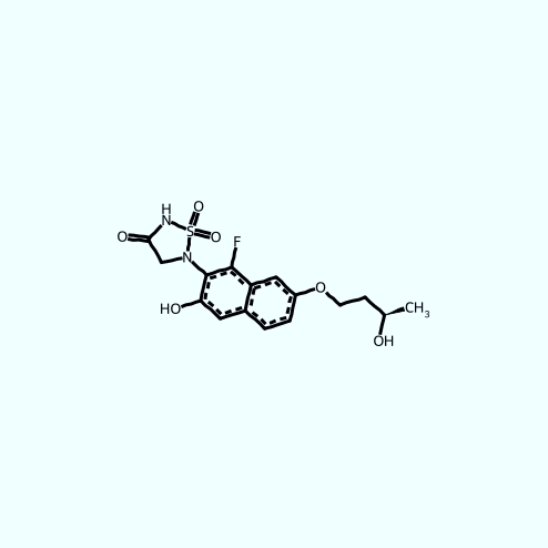 C[C@@H](O)CCOc1ccc2cc(O)c(N3CC(=O)NS3(=O)=O)c(F)c2c1